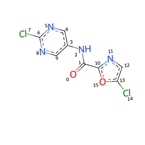 O=C(Nc1cnc(Cl)nc1)c1ncc(Cl)o1